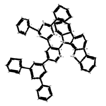 c1ccc(-c2cc(-c3ccccc3)cc(-c3cnc(-n4c5ccccc5c5ccc6c7ccccc7oc6c54)c(-c4nc(-c5ccccc5)nc(-c5ccccc5)n4)c3)c2)cc1